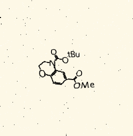 COC(=O)c1ccc2c(c1)N(C(=O)OC(C)(C)C)CCO2